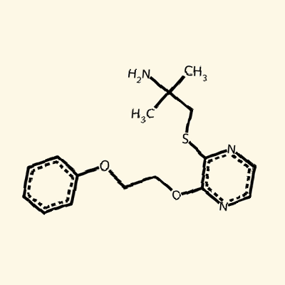 CC(C)(N)CSc1nccnc1OCCOc1ccccc1